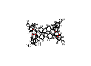 COc1ccc(N(c2ccc(CO)c(C)c2)c2ccc3c(c2)C2(c4cc(N(c5ccc(OC)cc5)c5ccc(CO)c(C)c5)ccc4-c4ccc(N(c5ccc(OC)cc5)c5ccc(OC)c(C)c5)cc42)c2cc(N(c4ccc(OC)cc4)c4ccc(OC)c(C)c4)ccc2-3)cc1